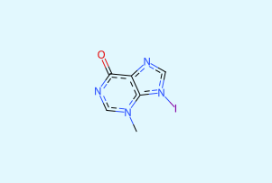 Cn1cnc(=O)c2ncn(I)c21